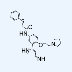 CN/C(=C\C=N)c1cc(NC(=O)CSc2ccccc2)ccc1OCCN1CCCC1